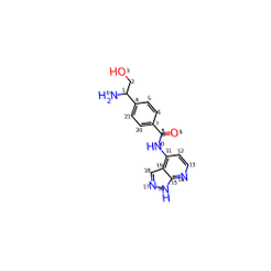 NC(CO)c1ccc(C(=O)Nc2ccnc3[nH]ncc23)cc1